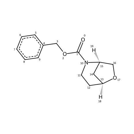 O=C(OCc1ccccc1)N1CC[C@H]2C[C@@H]1CO2